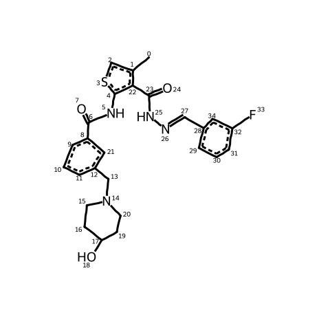 Cc1csc(NC(=O)c2cccc(CN3CCC(O)CC3)c2)c1C(=O)N/N=C/c1cccc(F)c1